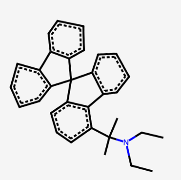 CCN(CC)C(C)(C)c1cccc2c1-c1ccccc1C21c2ccccc2-c2ccccc21